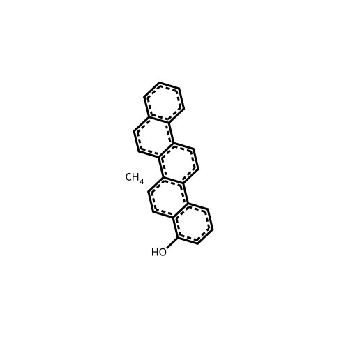 C.Oc1cccc2c1ccc1c2ccc2c3ccccc3ccc21